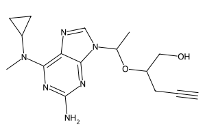 C#CCC(CO)OC(C)n1cnc2c(N(C)C3CC3)nc(N)nc21